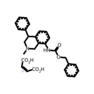 CN1Cc2c(NC(=O)OCc3ccccc3)cccc2C(c2ccccc2)C1.O=C(O)/C=C\C(=O)O